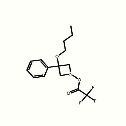 CCCCOC1(c2ccccc2)CN(OC(=O)C(F)(F)F)C1